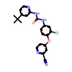 CC(C)(C)c1ccnc(NC(=O)Nc2ccc(Oc3ccnc(C#N)c3)c(Cl)c2)c1